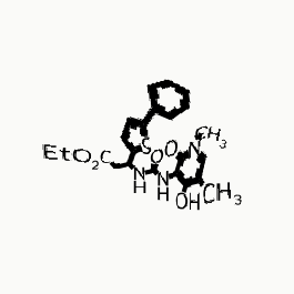 CCOC(=O)CC(NC(=O)Nc1c(O)c(C)cn(C)c1=O)c1ccc(-c2ccccc2)s1